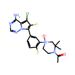 CC(=O)N1CC[N+]([O-])(c2cc(-c3c(F)c(Cl)c4c(N)ncnn34)ccc2F)CC1(C)C